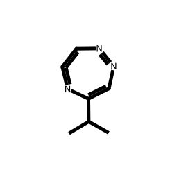 CC(C)C1=CN=NC=C=N1